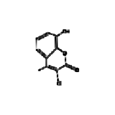 Cc1c(Cl)c(=O)oc2c(O)cccc12